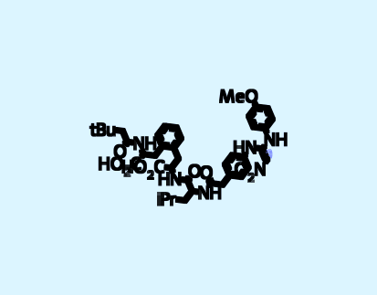 COc1ccc(N/C(=C/[N+](=O)[O-])Nc2ccc(CC(=O)NC(CC(C)C)C(=O)NC(Cc3ccccc3CC(NC(=O)CC(C)(C)C)C(=O)O)C(=O)O)cc2)cc1